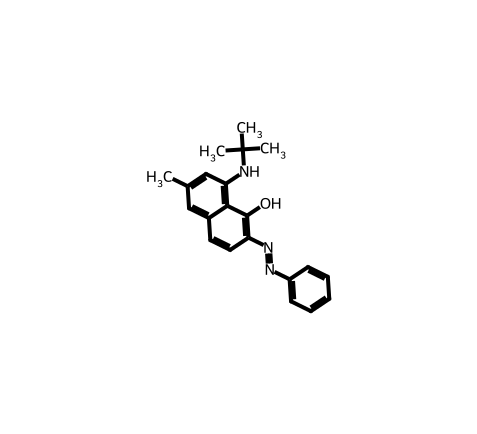 Cc1cc(NC(C)(C)C)c2c(O)c(N=Nc3ccccc3)ccc2c1